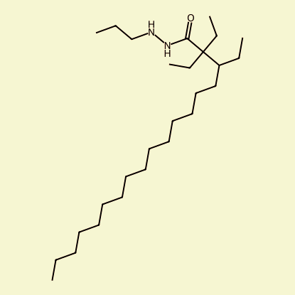 CCCCCCCCCCCCCCCC(CC)C(CC)(CC)C(=O)NNCCC